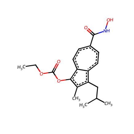 CCOC(=O)Oc1c2ccc(C(=O)NO)ccc-2c(CC(C)C)c1C